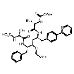 COC(=O)N[C@H](C(=O)N[C@@H](Cc1ccc(-c2ccccn2)cc1)C[C@@H](OCSC)[C@H](Cc1ccccc1)NC(=O)[C@@H](NC(=O)O)C(C)(C)C)C(C)(C)C